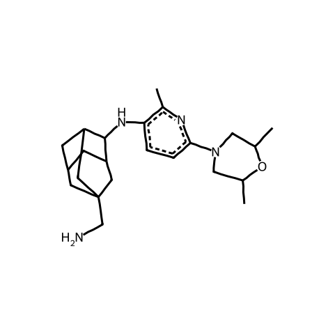 Cc1nc(N2CC(C)OC(C)C2)ccc1NC1C2CC3CC1CC(CN)(C3)C2